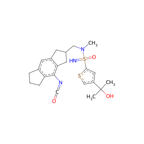 CN(CC1Cc2cc3c(c(N=C=O)c2C1)CCC3)S(=N)(=O)c1cc(C(C)(C)O)cs1